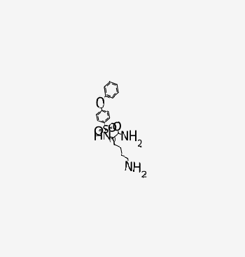 NCCCC[C@@H](NS(=O)(=O)c1ccc(Oc2ccccc2)cc1)C(N)=O